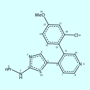 CCCNc1ncc(-c2ccncc2-c2ccc(OC)cc2Cl)s1